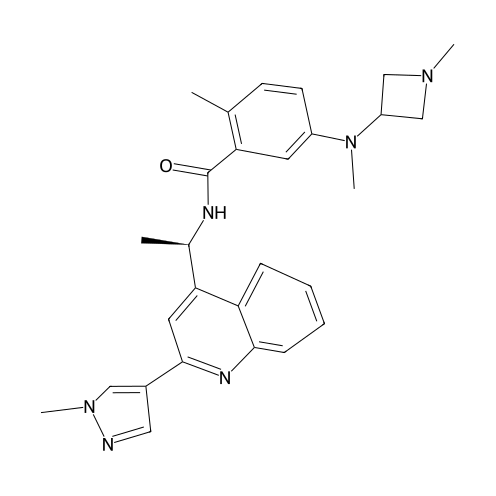 Cc1ccc(N(C)C2CN(C)C2)cc1C(=O)N[C@H](C)c1cc(-c2cnn(C)c2)nc2ccccc12